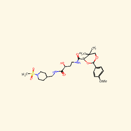 COc1ccc(C2OCC(C)(C)[C@H](C(=O)NCCC(O)C(=O)NCC3CCN(S(C)(=O)=O)CC3)O2)cc1